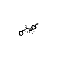 O=C(NC(Cc1ccc(O)cc1)C(=O)O)OCC1=CC=CCC1